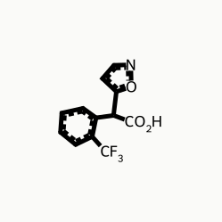 O=C(O)C(c1ccno1)c1ccccc1C(F)(F)F